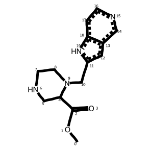 COC(=O)C1CNCCN1Cc1cc2cnccc2[nH]1